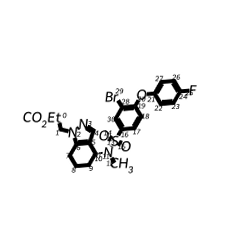 CCOC(=O)Cn1ncc2c1CCC[C@H]2N(C)S(=O)(=O)c1ccc(Oc2ccc(F)cc2)c(Br)c1